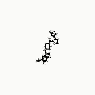 Cc1cc([C@@H]2CCON2C(=O)[C@H]2CC[C@H](Cn3cnc4cc(F)c(C#N)cc43)CC2)co1